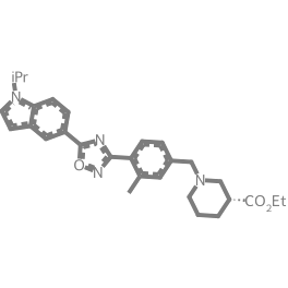 CCOC(=O)[C@@H]1CCCN(Cc2ccc(-c3noc(-c4ccc5c(ccn5C(C)C)c4)n3)c(C)c2)C1